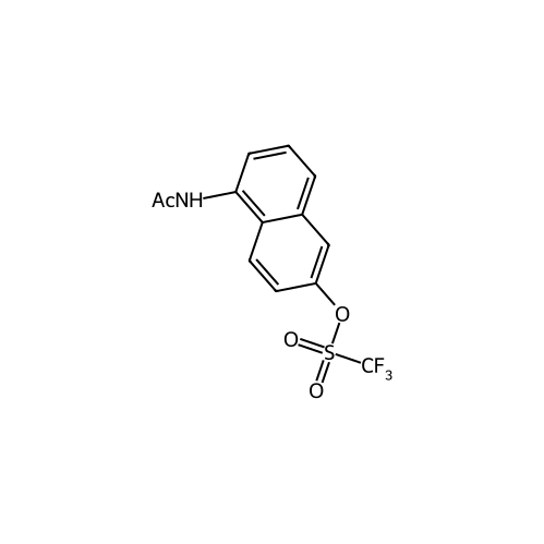 CC(=O)Nc1cccc2cc(OS(=O)(=O)C(F)(F)F)ccc12